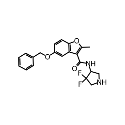 Cc1oc2ccc(OCc3ccccc3)cc2c1C(=O)NC1CNCC1(F)F